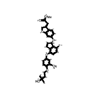 COC(=O)CC1COc2cc(O[C@@H]3CCc4c(Oc5ccc(OCCC(C)(C)O)c(C#N)c5)ccc(F)c43)ccc21